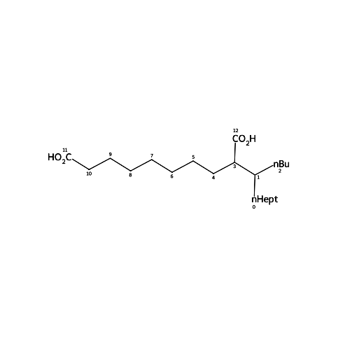 CCCCCCCC(CCCC)C(CCCCCCCC(=O)O)C(=O)O